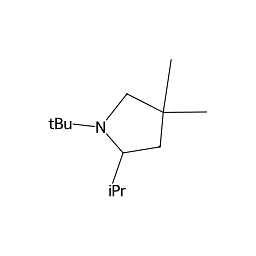 CC(C)C1CC(C)(C)CN1C(C)(C)C